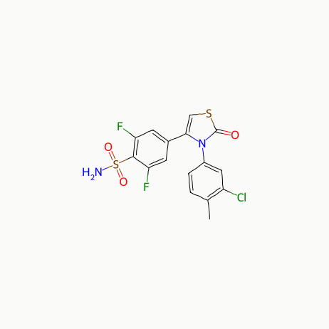 Cc1ccc(-n2c(-c3cc(F)c(S(N)(=O)=O)c(F)c3)csc2=O)cc1Cl